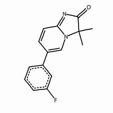 CC1(C)C(=O)N=C2C=CC(c3cccc(F)c3)=CN21